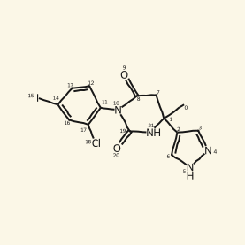 CC1(c2cn[nH]c2)CC(=O)N(c2ccc(I)cc2Cl)C(=O)N1